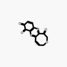 O=C1C=Cc2nc3c(nc2C1=O)/C=C\COCC3=O